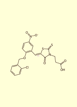 O=C(O)CCN1C(=O)/C(=C/c2cc([N+](=O)[O-])ccc2OCc2ccccc2Cl)SC1=S